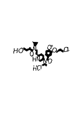 COCCCOc1cc(C(=O)N(C(C)C)[C@@H]2CC[C@H](CCN(C(=O)CCCO)C3CC3)NC2)ccc1OC.Cl